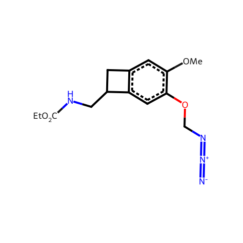 CCOC(=O)NCC1Cc2cc(OC)c(OCN=[N+]=[N-])cc21